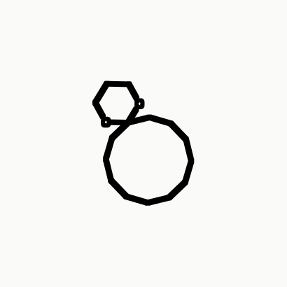 C1CCCCCC2(CCCCC1)OCCCO2